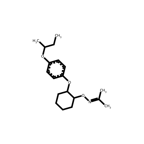 CCC(C)Oc1ccc(OC2CCCCC2ON=C(C)C)cc1